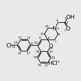 Cl.O=C(O)CN1CCC2(C=C(c3ccc(Cl)cc3)c3ccccc3O2)CC1